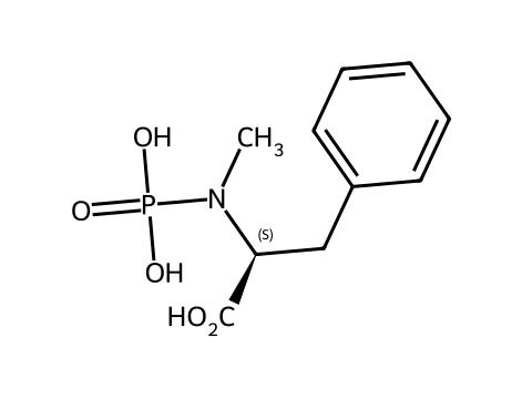 CN([C@@H](Cc1ccccc1)C(=O)O)P(=O)(O)O